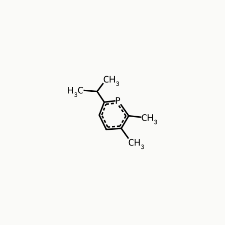 Cc1ccc(C(C)C)pc1C